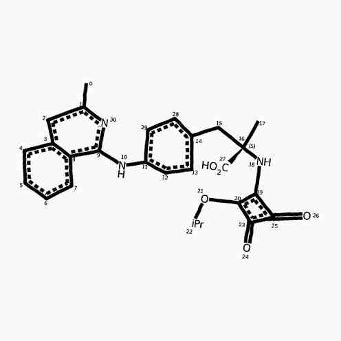 Cc1cc2ccccc2c(Nc2ccc(C[C@](C)(Nc3c(OC(C)C)c(=O)c3=O)C(=O)O)cc2)n1